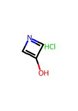 Cl.OC1=CN=C1